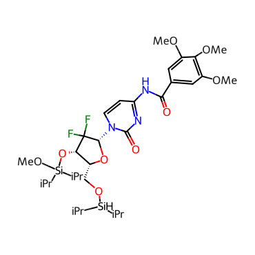 COc1cc(C(=O)Nc2ccn([C@@H]3O[C@H](CO[SiH](C(C)C)C(C)C)[C@H](O[Si](OC)(C(C)C)C(C)C)C3(F)F)c(=O)n2)cc(OC)c1OC